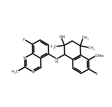 COc1c(F)ccc2c1C(C)(C)CC(O)(C(F)(F)F)C2Nc1ccc(F)c2nc(C)ncc12